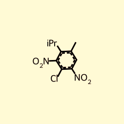 Cc1cc([N+](=O)[O-])c(Cl)c([N+](=O)[O-])c1C(C)C